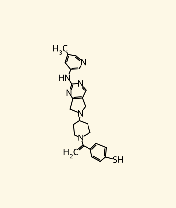 C=C(c1ccc(S)cc1)N1CCC(N2Cc3cnc(Nc4cncc(C)c4)nc3C2)CC1